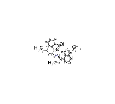 CCCCC(/C=N/N(CC)c1ncnc2c1ccn2CC)C1ON(O)c2ccccc21